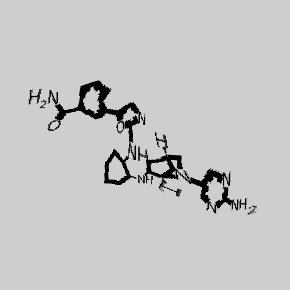 NC(=O)c1cccc(-c2cnc(N[C@@H]3CCCC[C@H]3N[C@H]3C[C@@H]4C[C@H]3N(c3cnc(N)nc3)C4)o2)c1